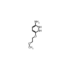 COCCOC1=CC=C(N)NN1